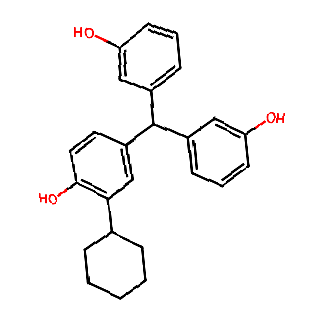 Oc1cccc(C(c2cccc(O)c2)c2ccc(O)c(C3CCCCC3)c2)c1